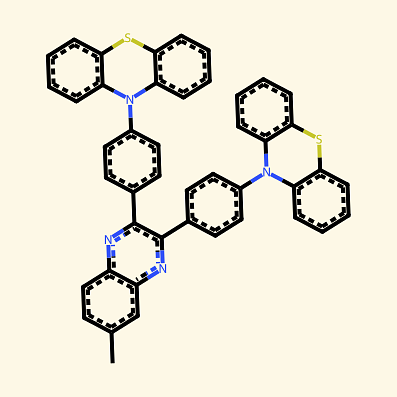 Cc1ccc2nc(-c3ccc(N4c5ccccc5Sc5ccccc54)cc3)c(-c3ccc(N4c5ccccc5Sc5ccccc54)cc3)nc2c1